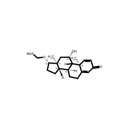 CSCO[C@H]1CC[C@H]2[C@@H]3CCC4=CC(=O)C=C[C@]4(C)C3(F)[C@@H](O)C[C@]12C